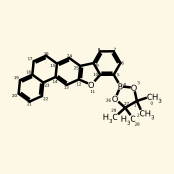 CC1(C)OB(c2cccc3c2oc2cc4c(ccc5ccccc54)cc23)OC1(C)C